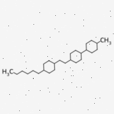 CCCCCCC1CCC(CCC2CCC(C3CCC(C)CC3)CC2)CC1